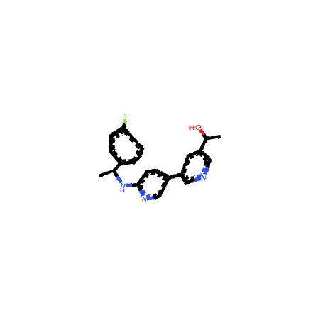 CC(O)c1cncc(-c2ccc(NC(C)c3ccc(F)cc3)nc2)c1